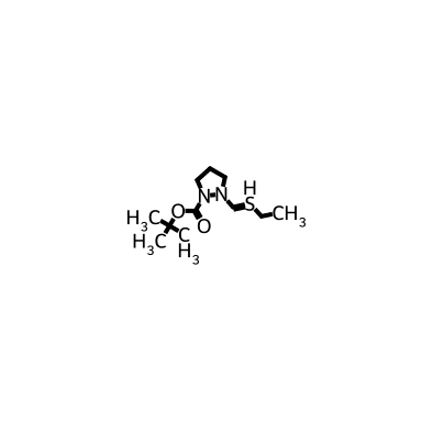 CC[SH]=CN1CCCN1C(=O)OC(C)(C)C